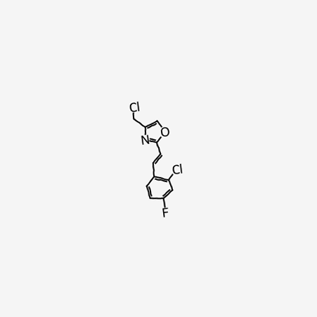 Fc1ccc(/C=C/c2nc(CCl)co2)c(Cl)c1